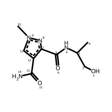 CC(CO)NC(=O)c1nn(C)cc1C(N)=O